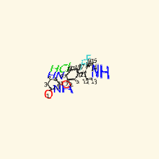 Cl.O=C1CCC(Nc2ccc(C3CCNCC3(F)F)cc2)C(=O)N1